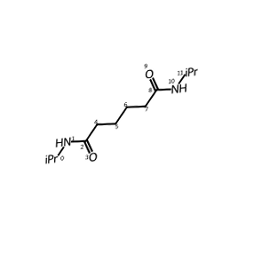 CC(C)NC(=O)CCCCC(=O)NC(C)C